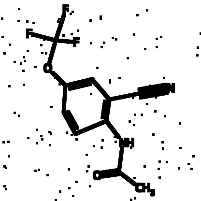 CC(=O)Nc1ccc(OC(F)(F)F)cc1C#N